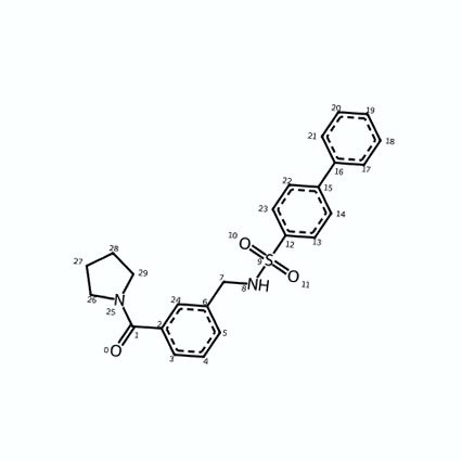 O=C(c1cccc(CNS(=O)(=O)c2ccc(-c3ccccc3)cc2)c1)N1CCCC1